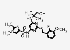 COc1cccc(CSc2nc(NC(C)(C)CO)cc(NS(=O)(=O)c3cn(C)c(C)n3)n2)c1F